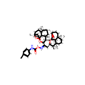 Cc1ccc(NC(=O)O/N=C(/C[C@H]2O[C@@H]3C[C@]4(C)CC[C@H]5[C@H](C)CC[C@@H]([C@H]2C)[C@@]35OO4)[C@H]2O[C@@H]3C[C@]4(C)CC[C@H]5[C@H](C)CC[C@@H]([C@H]2C)[C@@]35OO4)cc1